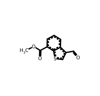 COC(=O)c1cccc2c(C=O)csc12